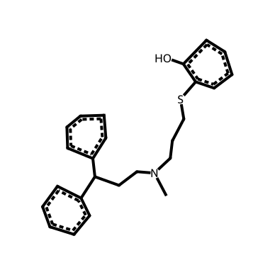 CN(CCCSc1ccccc1O)CCC(c1ccccc1)c1ccccc1